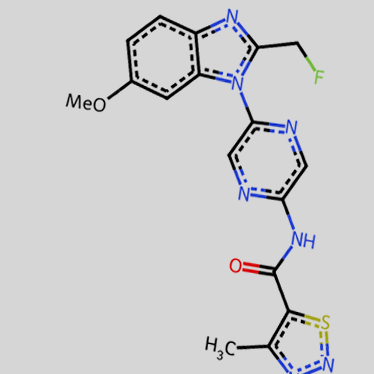 COc1ccc2nc(CF)n(-c3cnc(NC(=O)c4snnc4C)cn3)c2c1